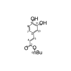 CCCCOC(=O)C=Cc1ccc(O)c(O)c1